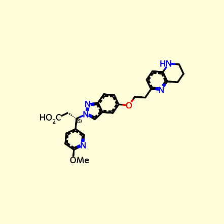 COc1ccc([C@H](CC(=O)O)n2cc3cc(OCCc4ccc5c(n4)CCCN5)ccc3n2)cn1